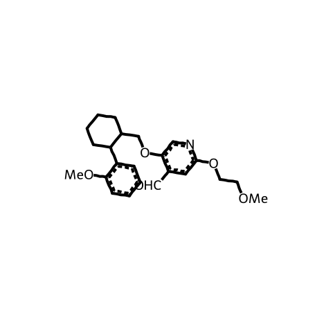 COCCOc1cc(C=O)c(OCC2CCCCC2c2ccccc2OC)cn1